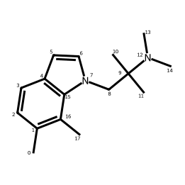 Cc1ccc2ccn(CC(C)(C)N(C)C)c2c1C